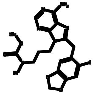 CC(C)N(CCCn1c(Cc2cc3c(cc2I)OCO3)nc2c(N)ncnc21)C(=O)OC(C)(C)C